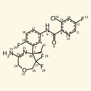 CC[C@]1(c2cc(NC(=O)c3ncc(F)cc3Cl)ccc2F)N=C(N)COCC1(F)F